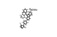 COC(=O)c1cnc2c3ccc(-c4ccc(-c5c(C)noc5C)cc4)cc3n(C(c3ccccc3F)C3CCOCC3)c2c1